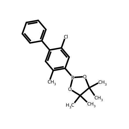 Cc1cc(-c2ccccc2)c(Cl)cc1B1OC(C)(C)C(C)(C)O1